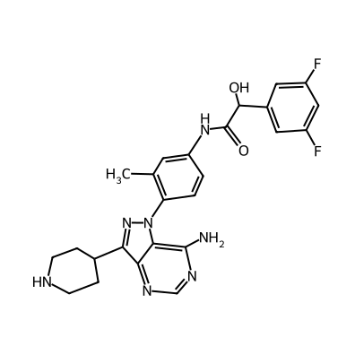 Cc1cc(NC(=O)C(O)c2cc(F)cc(F)c2)ccc1-n1nc(C2CCNCC2)c2ncnc(N)c21